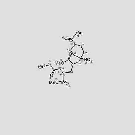 COC(=O)C(C[C@H](NC(=O)OC(C)(C)C)C(=O)OC)CC1([N+](=O)[O-])CCN(C(=O)C(C)(C)C)CC1